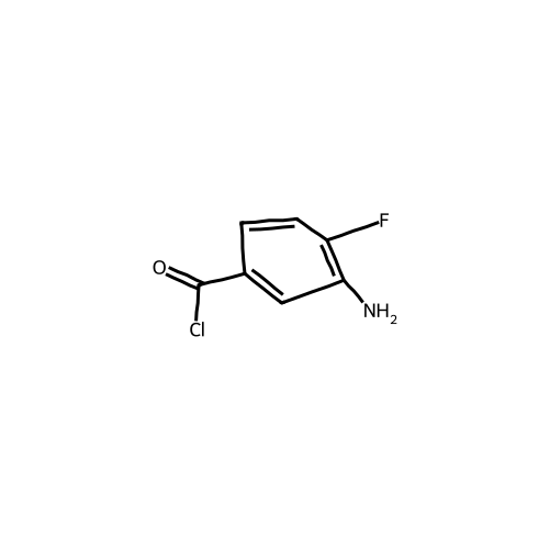 Nc1cc(C(=O)Cl)ccc1F